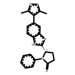 Cc1noc(C)c1-c1ccc2[nH]c([C@@H]3CCC(=O)N3c3ccccc3)nc2c1